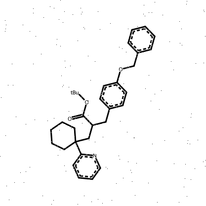 CC(C)(C)OC(=O)C(Cc1ccc(OCc2ccccc2)cc1)CC1(c2ccccn2)CCCCC1